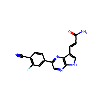 N#Cc1ccc(-c2cnc3[nH]cc(C=CC(N)=O)c3n2)cc1F